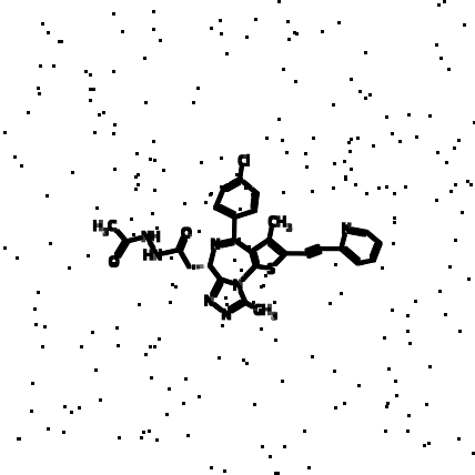 CC(=O)NNC(=O)C[C@@H]1N=C(c2ccc(Cl)cc2)c2c(sc(C#Cc3ccccn3)c2C)-n2c(C)nnc21